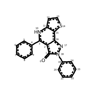 O=c1c2c(-c3ccccc3)[nH]c3ccsc3c-2nn1-c1ccccc1